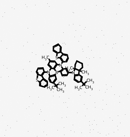 Cc1cc2c3c(c1)N(c1cccc4sc5ccccc5c14)c1ccc(C(C)(C)C)cc1B3c1ccc(N3c4ccc(C(C)(C)C)cc4C4(C)CCCC[C@@]34C)cc1N2c1cccc2c1sc1ccccc12